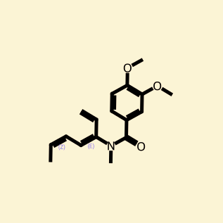 C=C/C(=C\C=C/C)N(C)C(=O)c1ccc(OC)c(OC)c1